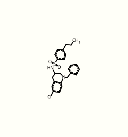 CCCc1ccc(S(=O)(=O)NC2Cc3cc(Cl)ccc3N(Cc3ccccc3)C2)cc1